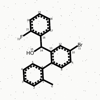 Cc1ccccc1-c1ccc(Br)cc1C(O)c1ccccc1F